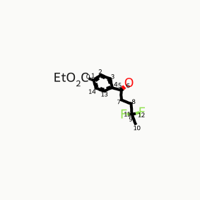 CCOC(=O)c1ccc(C(=O)CCC(C)(F)F)cc1